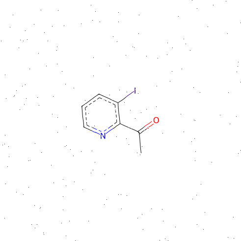 CC(=O)c1ncccc1I